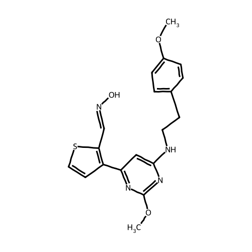 COc1ccc(CCNc2cc(-c3ccsc3C=NO)nc(OC)n2)cc1